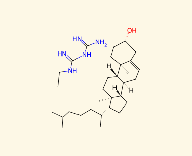 CC(C)CCCC(C)[C@H]1CC[C@H]2[C@@H]3CC=C4C[C@@H](O)CC[C@]4(C)[C@H]3CC[C@]12C.CCNC(=N)NC(=N)N